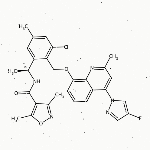 Cc1cc(Cl)c(COc2cccc3c(-n4cc(F)cn4)cc(C)nc23)c([C@H](C)NC(=O)c2c(C)noc2C)c1